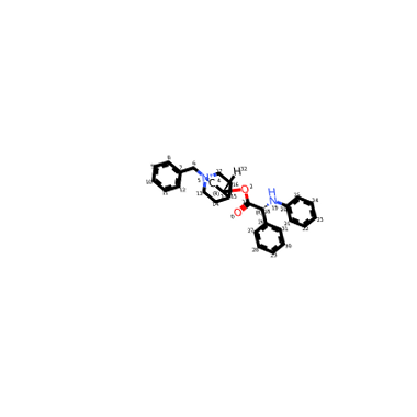 O=C(O[C@H]1C[N+]2(Cc3ccccc3)CCC1CC2)[C@H](Nc1ccccc1)c1ccccc1